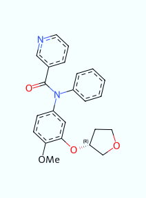 COc1ccc(N(C(=O)c2cccnc2)c2ccccc2)cc1O[C@@H]1CCOC1